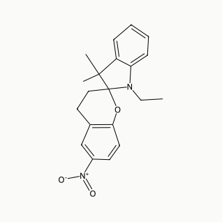 CCN1c2ccccc2C(C)(C)C12CCc1cc([N+](=O)[O-])ccc1O2